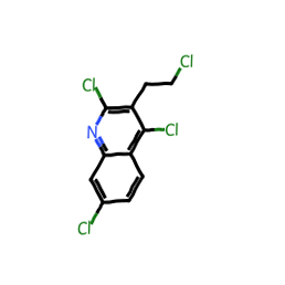 ClCCc1c(Cl)nc2cc(Cl)ccc2c1Cl